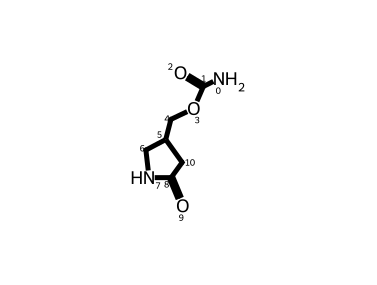 NC(=O)OCC1CNC(=O)C1